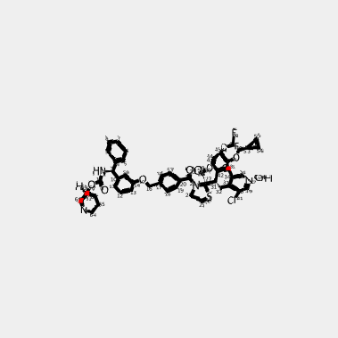 O=C(N[C@@H](c1ccccc1)c1cccc(OCc2ccc(C(=O)N3CCS[C@]3(C(=O)[O-])[C@@H](Cc3c(Cl)c[n+](O)cc3Cl)c3ccc(OC(F)F)c(OCC4CC4)c3)cc2)c1)O[C@H]1CN2CCC1CC2